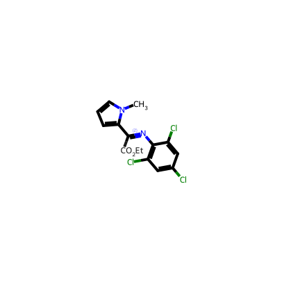 CCOC(=O)/C(=N\c1c(Cl)cc(Cl)cc1Cl)c1cccn1C